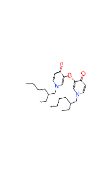 CCCCC(CC)Cn1ccc(=O)c(Oc2cn(CC(CC)CCCC)ccc2=O)c1